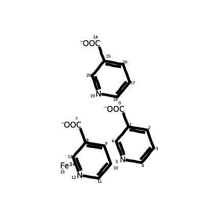 O=C([O-])c1cccnc1.O=C([O-])c1cccnc1.O=C([O-])c1cccnc1.[Fe+3]